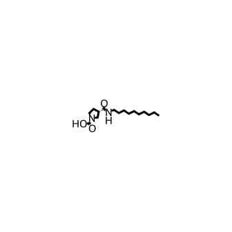 CCCCCCCCCCNC(=O)[C@H]1CCN(C(=O)O)C1